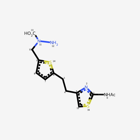 CC(=O)Nc1nc(CCc2ccc(CN(N)C(=O)O)s2)cs1